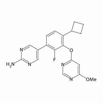 COc1cc(Oc2c(C3CCC3)ccc(-c3cnc(N)nc3)c2F)ncn1